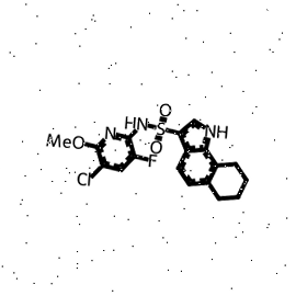 COc1nc(NS(=O)(=O)c2c[nH]c3c4c(ccc23)CCCC4)c(F)cc1Cl